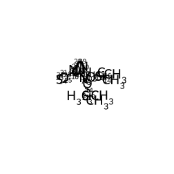 C[Si](C)(C)CCOCN(COCC[Si](C)(C)C)c1cc(C2CCSCC2)nc2ccnn12